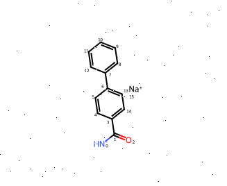 [NH-]C(=O)c1ccc(-c2ccccc2)cc1.[Na+]